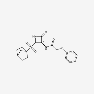 O=C(COc1ccccc1)N[C@@H]1C(=O)NC1S(=O)(=O)C12CCC(CC1)C2